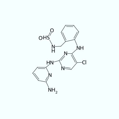 Nc1cccc(Nc2ncc(Cl)c(Nc3ccccc3CN[SH](=O)=O)n2)n1